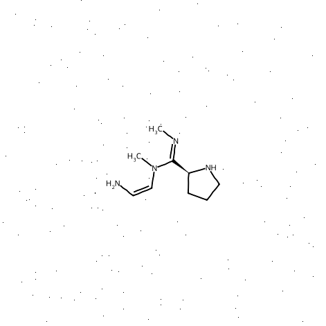 C/N=C(/[C@@H]1CCCN1)N(C)/C=C\N